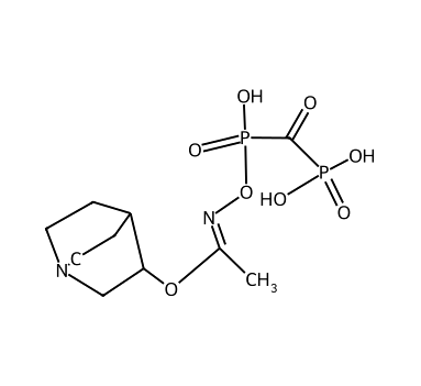 CC(=NOP(=O)(O)C(=O)P(=O)(O)O)OC1CN2CCC1CC2